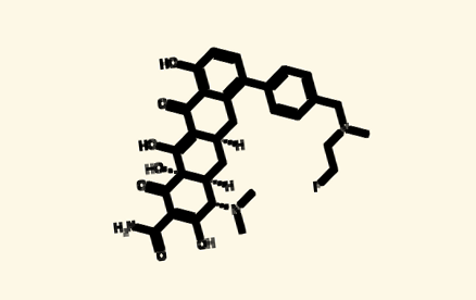 CN(CCF)Cc1ccc(-c2ccc(O)c3c2C[C@H]2C[C@H]4[C@H](N(C)C)C(O)=C(C(N)=O)C(=O)[C@@]4(O)C(O)=C2C3=O)cc1